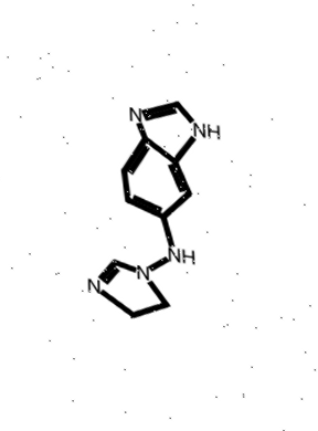 C1=NCCN1Nc1ccc2nc[nH]c2c1